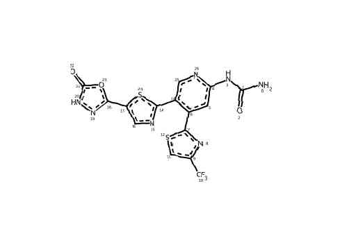 NC(=O)Nc1cc(-c2nc(C(F)(F)F)cs2)c(-c2ncc(-c3n[nH]c(=O)o3)s2)cn1